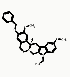 COc1ccc2c(c1)c1c(n2CO)CN2CCc3cc(OCc4ccccc4)c(OC)cc3[C@@H]2C1